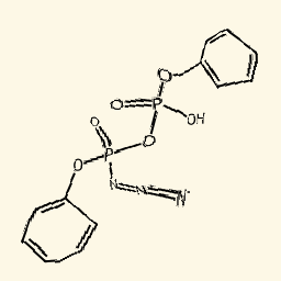 [N-]=[N+]=NP(=O)(Oc1ccccc1)OP(=O)(O)Oc1ccccc1